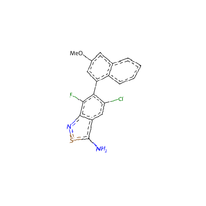 COc1cc(-c2c(Cl)cc3c(N)snc3c2F)c2ccccc2c1